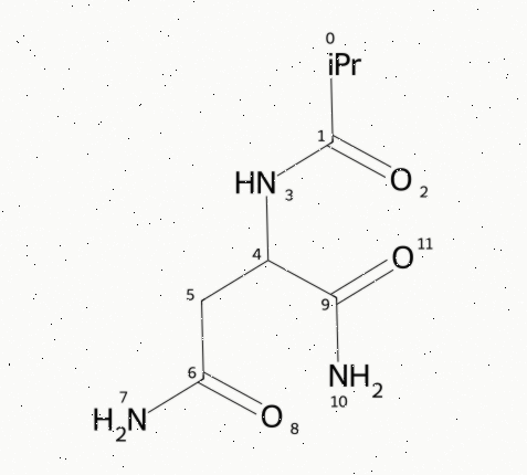 CC(C)C(=O)NC(CC(N)=O)C(N)=O